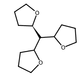 C1COC(C(C2CCCO2)[C@H]2CCCO2)C1